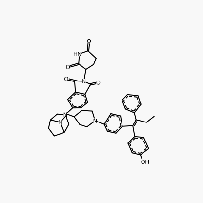 CCC(=C(c1ccc(O)cc1)c1ccc(N2CCC(CN3C4CCC3CN(c3ccc5c(c3)C(=O)N(C3CCC(=O)NC3=O)C5=O)C4)CC2)cc1)c1ccccc1